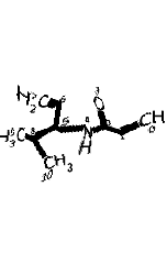 C=CC(=O)NC(C=C)C(C)C